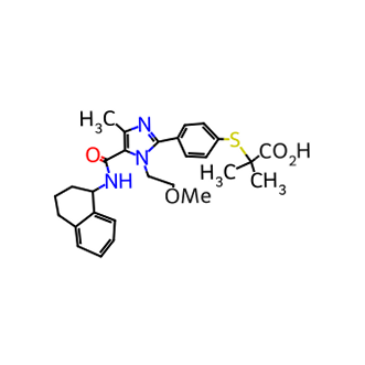 COCCn1c(-c2ccc(SC(C)(C)C(=O)O)cc2)nc(C)c1C(=O)NC1CCCc2ccccc21